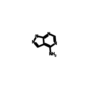 Nc1ncnc2c1C=N[N]2